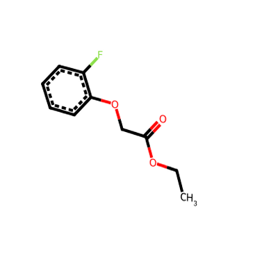 CCOC(=O)COc1ccccc1F